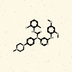 COc1ccc(Nc2cc(N(C(=O)Nc3c(C)cccc3Cl)c3ccc(N4CCN(I)CC4)cc3)ncn2)c(OC)c1